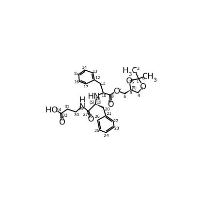 CC1(C)OC[C@@H](COC(=O)C(Cc2ccccc2)N[C@@H](Cc2ccccc2)C(=O)NCCC(=O)O)O1